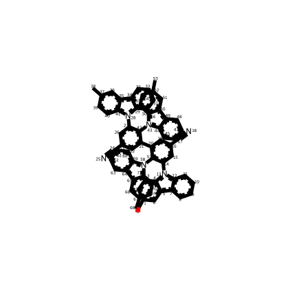 Cc1ccc2c(c1)c1ccccc1n2-c1cc(C#N)cc(-c2cc(C#N)cc(-n3c4ccccc4c4cc(C)ccc43)c2-n2c3ccccc3c3cc(C)ccc32)c1-n1c2ccccc2c2cc(C)ccc21